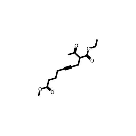 CCOC(=O)C(CC#CCCCC(=O)OC)C(C)=O